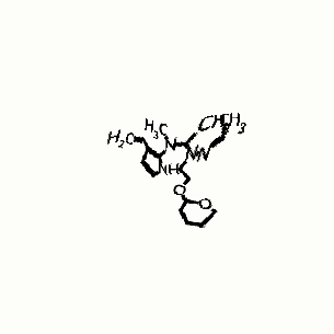 C=Cc1cc[nH]c1N(C)C(C)N(CCOC1CCCCO1)/N=C\C